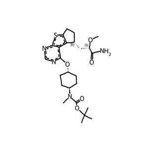 CO[C@@H](C[C@H]1CCc2sc3ncnc(O[C@H]4CC[C@H](N(C)C(=O)OC(C)(C)C)CC4)c3c21)C(N)=O